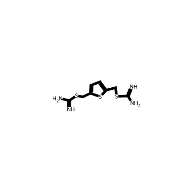 N=C(N)SCc1ccc(CSC(=N)N)s1